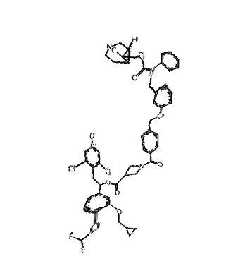 O=C(OC(Cc1c(Cl)c[n+]([O-])cc1Cl)c1ccc(OC(F)F)c(OCC2CC2)c1)C1CN(C(=O)c2ccc(COc3cccc(CN(C(=O)O[C@H]4CN5CCC4CC5)c4ccccc4)c3)cc2)C1